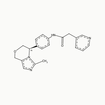 Cc1ncc2n1[C@H](c1ccc(NC(=O)Cc3cccnc3)cc1)COC2